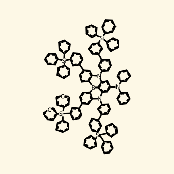 c1ccc(N(c2ccccc2)c2cc3c4c(c2)N(c2cccc(-c5cccc([Si](c6ccccc6)(c6ccccc6)c6ccccc6)c5)c2)c2cc(-c5cccc([Si](c6ccccc6)(c6ccccc6)c6ccccc6)c5)ccc2B4c2ccc(-c4cccc([Si](c5ccccc5)(c5ccccc5)c5ccccc5)c4)cc2N3c2cccc(-c3cccc([Si](c4ccccc4)(c4ccccc4)c4ccccc4)c3)c2)cc1